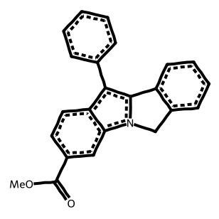 COC(=O)c1ccc2c(-c3ccccc3)c3n(c2c1)Cc1ccccc1-3